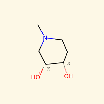 CN1CC[C@H](O)[C@H](O)C1